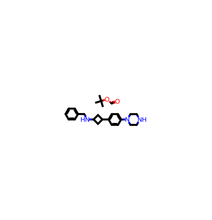 CC(C)(C)OC=O.c1ccc(CNC2CC(c3ccc(N4CCNCC4)cc3)C2)cc1